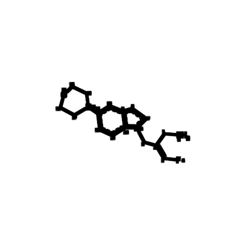 NC/C(=C\F)Cn1ccc2cc(N3CCOCC3)ccc21